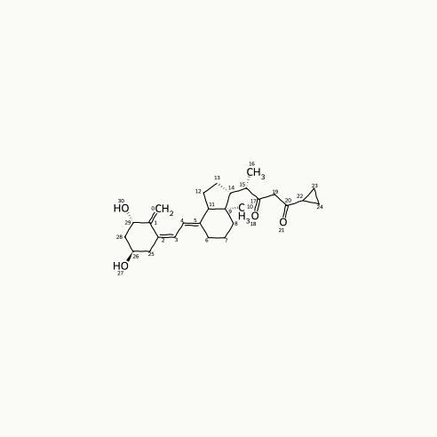 C=C1/C(=C\C=C2/CCC[C@@]3(C)C2CC[C@@H]3[C@H](C)C(=O)CC(=O)C2CC2)C[C@@H](O)C[C@@H]1O